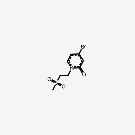 CS(=O)(=O)CCn1ccc(Br)cc1=O